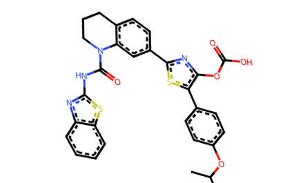 CC(C)Oc1ccc(-c2sc(-c3ccc4c(c3)N(C(=O)Nc3nc5ccccc5s3)CCC4)nc2OC(=O)O)cc1